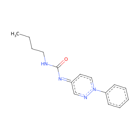 CCCCNC(=O)N=c1ccn(-c2ccccc2)nc1